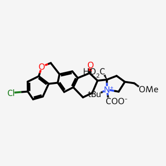 COCC1C[C@@](C(=O)O)(C2CCc3cc4c(cc3C2=O)COc2cc(Cl)ccc2-4)[N+](C(=O)[O-])(C(C)(C)C)C1